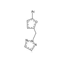 CC(=O)c1ccc(Cn2n[c]cn2)o1